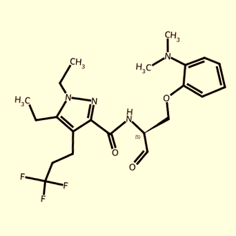 CCc1c(CCC(F)(F)F)c(C(=O)N[C@H](C=O)COc2ccccc2N(C)C)nn1CC